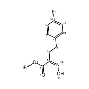 CC(C)OC(=O)C(CCc1ccc(F)cc1)=NO